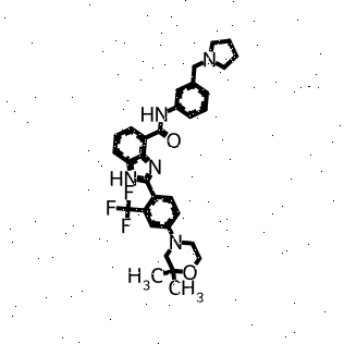 CC1(C)CN(c2ccc(-c3nc4c(C(=O)Nc5cccc(CN6CCCC6)c5)cccc4[nH]3)c(C(F)(F)F)c2)CCO1